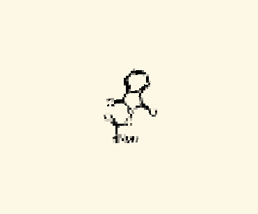 CCCCCCCCCC(=O)ON1C(=O)c2ccccc2C1=O